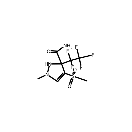 CN1C=C(S(C)(=O)=O)C(C(N)=O)(C(F)(F)C(F)(F)F)N1